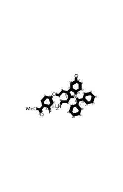 COC(=O)c1ccc(OCCc2c(CCN)n(C(c3ccccc3)c3ccccc3)c3ccc(Cl)cc23)cc1F